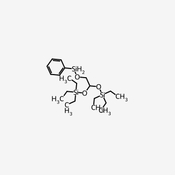 CC[Si](CC)(CC)OC(CO[SiH2]c1ccccc1)O[Si](CC)(CC)CC